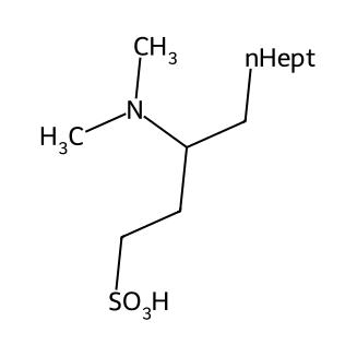 CCCCCCCCC(CCS(=O)(=O)O)N(C)C